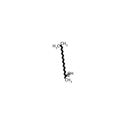 CCC(CCCCCCCCCCCCCCC(C)C)=NO